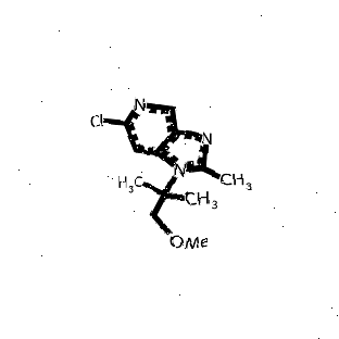 COCC(C)(C)n1c(C)nc2cnc(Cl)cc21